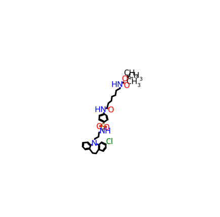 CC(C)(C)OC(=O)NCCCCCCC(=O)Nc1ccc(S(=O)(=O)NCCCN2c3ccccc3CCc3ccc(Cl)cc32)cc1